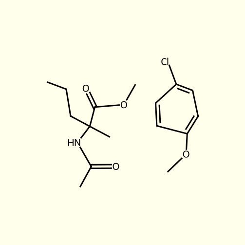 CCCC(C)(NC(C)=O)C(=O)OC.COc1ccc(Cl)cc1